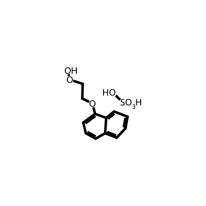 O=S(=O)(O)O.OOCCOc1cccc2ccccc12